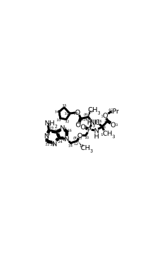 CC(C)OC(=O)C(C)(C)NP(=O)(CO[C@H](C)Cn1cnc2c(N)ncnc21)N[C@H](C)C(=O)OC1CCCC1